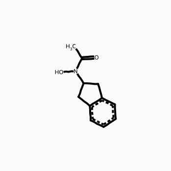 CC(=O)N(O)C1Cc2ccccc2C1